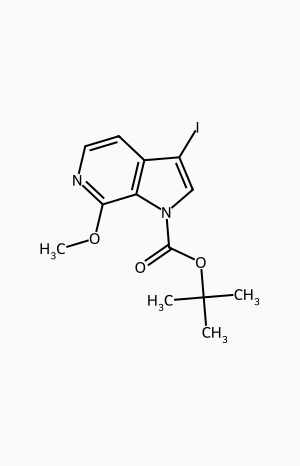 COc1nccc2c(I)cn(C(=O)OC(C)(C)C)c12